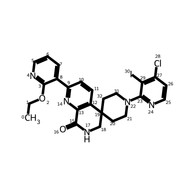 CCOc1ncccc1-c1ccc2c(n1)C(=O)NCC21CCN(c2nccc(Cl)c2I)CC1